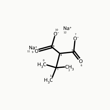 CC(C)(C)C(C(=O)[O-])C(=O)[O-].[Na+].[Na+]